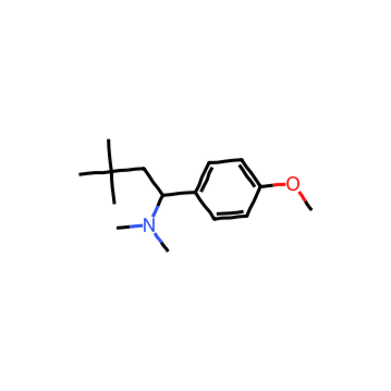 COc1ccc(C(CC(C)(C)C)N(C)C)cc1